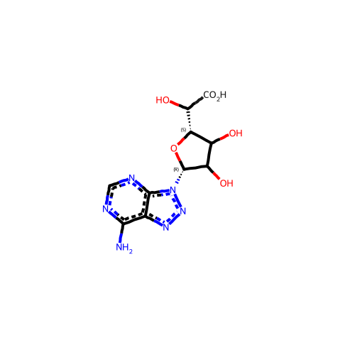 Nc1ncnc2c1nnn2[C@@H]1O[C@H](C(O)C(=O)O)C(O)C1O